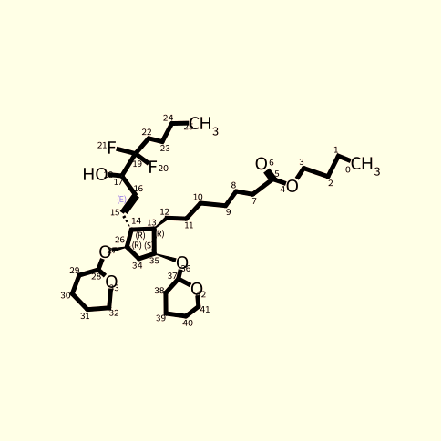 CCCCOC(=O)CCCCCC[C@@H]1[C@@H](/C=C/C(O)C(F)(F)CCCC)[C@H](OC2CCCCO2)C[C@@H]1OC1CCCCO1